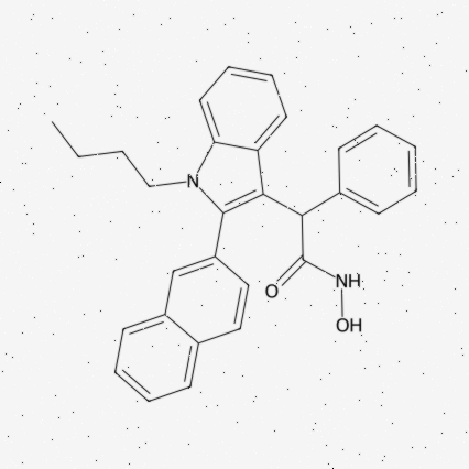 CCCCn1c(-c2ccc3ccccc3c2)c(C(C(=O)NO)c2ccccc2)c2ccccc21